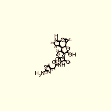 Nc1nc(CC(=O)N[C@@H]2C(=O)N3C(C(=O)O)=C(C(CC4CC4)=C4CCNC4=O)CS[C@H]23)cs1